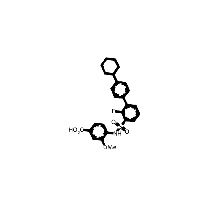 COc1cc(C(=O)O)ccc1NS(=O)(=O)c1cccc(-c2ccc(C3CCCCC3)cc2)c1F